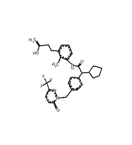 C=C(O)CCc1cccc(NC(=O)C(c2ccc(Cn3nc(C(F)(F)F)ccc3=O)cc2)C2CCCC2)c1C